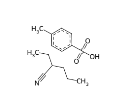 CCCC(C#N)CC.Cc1ccc(S(=O)(=O)O)cc1